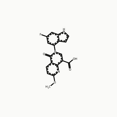 COc1ccc2c(=O)n(-c3cc(F)cc4[nH]ccc34)cc(C(=O)O)c2n1